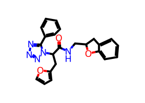 O=C(NCC1Cc2ccccc2O1)C(Cc1ccco1)n1nnnc1-c1ccccc1